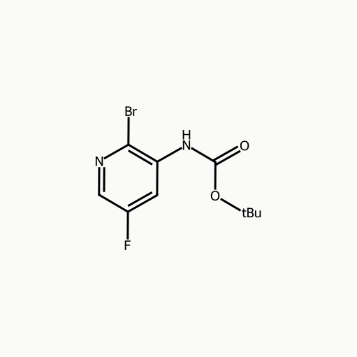 CC(C)(C)OC(=O)Nc1cc(F)cnc1Br